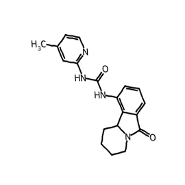 Cc1ccnc(NC(=O)Nc2cccc3c2C2CCCCN2C3=O)c1